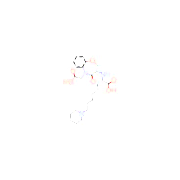 O=C(O)CN1C(=O)C(N[C@@H](CCCCCCN2CCCCC2)C(=O)O)COc2ccccc21